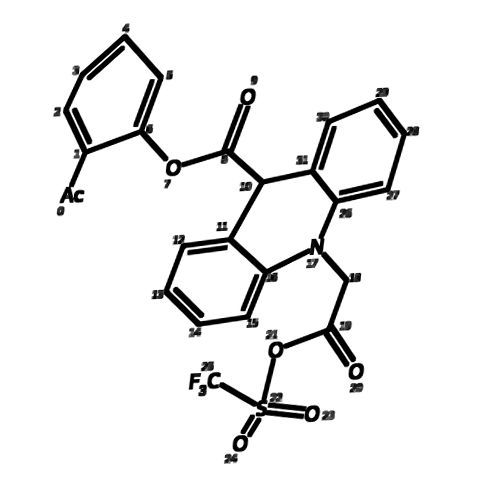 CC(=O)c1ccccc1OC(=O)C1c2ccccc2N(CC(=O)OS(=O)(=O)C(F)(F)F)c2ccccc21